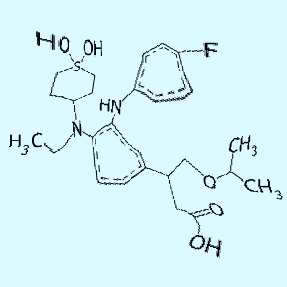 CCN(c1ccc(C(COC(C)C)CC(=O)O)cc1Nc1ccc(F)cc1)C1CCS(O)(O)CC1